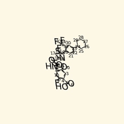 COc1cc(C(=O)O)c(F)cc1NS(=O)(=O)c1csc(-c2ccc(C3CCCCC3)cc2C(F)(F)F)n1